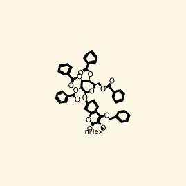 CCCCCCOc1c(OCc2ccccc2)c2ccc(O[C@@H]3O[C@H](COC(=O)c4ccccc4)[C@@H](OC(=O)c4ccccc4)[C@H](OC(=O)c4ccccc4)[C@H]3OC(=O)c3ccccc3)cc2oc1=O